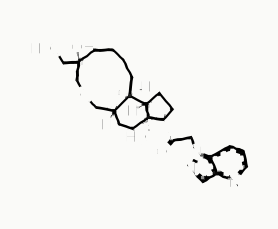 CC[C@]1(O)CCCC[C@@H]2[C@@H](CCC1)CC[C@]1(C)[C@@H](C(=O)Cn3ncc4ncccc43)CC[C@@H]21